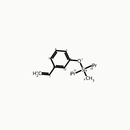 C=Cc1cccc(O[Si](C)(C(C)C)C(C)C)c1